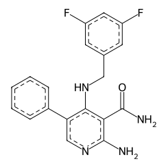 NC(=O)c1c(N)ncc(-c2ccccc2)c1NCc1cc(F)cc(F)c1